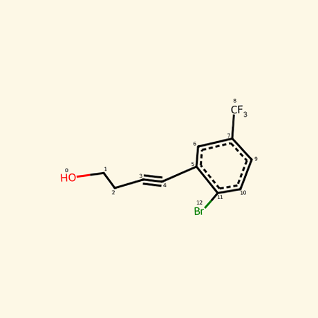 OCCC#Cc1cc(C(F)(F)F)ccc1Br